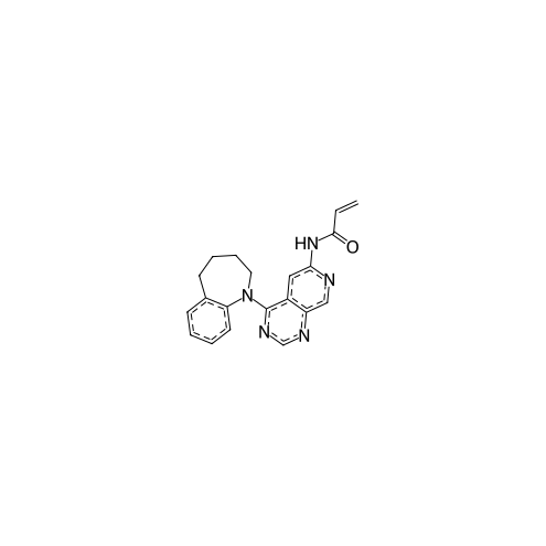 C=CC(=O)Nc1cc2c(N3CCCCc4ccccc43)ncnc2cn1